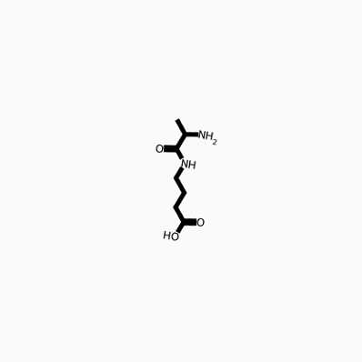 CC(N)C(=O)NCCCC(=O)O